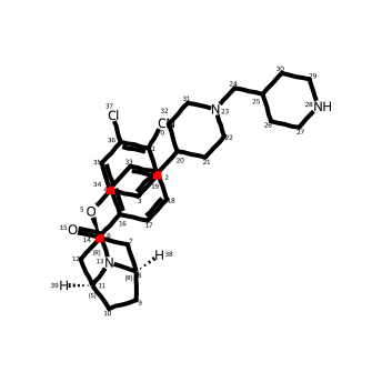 N#Cc1ccc(O[C@H]2C[C@H]3CC[C@@H](C2)N3C(=O)c2ccc(C3CCN(CC4CCNCC4)CC3)cc2)cc1Cl